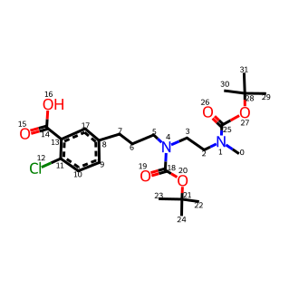 CN(CCN(CCCc1ccc(Cl)c(C(=O)O)c1)C(=O)OC(C)(C)C)C(=O)OC(C)(C)C